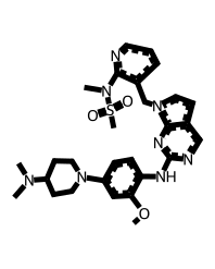 COc1cc(N2CCC(N(C)C)CC2)ccc1Nc1ncc2ccn(Cc3cccnc3N(C)S(C)(=O)=O)c2n1